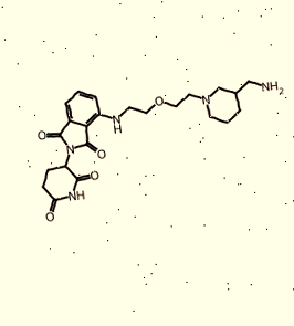 NCC1CCCN(CCOCCNc2cccc3c2C(=O)N(C2CCC(=O)NC2=O)C3=O)C1